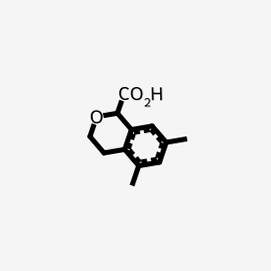 Cc1cc(C)c2c(c1)C(C(=O)O)OCC2